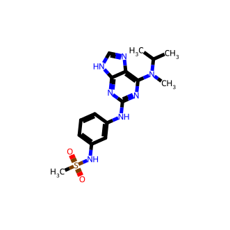 CC(C)N(C)c1nc(Nc2cccc(NS(C)(=O)=O)c2)nc2[nH]cnc12